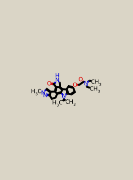 CCN(CC)C(=O)COc1ccc2c(c1)c1c3c(c4c(c1n2C(C)C)CCc1nn(C)cc1-4)C(=O)NC3